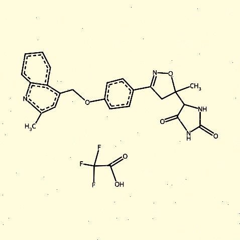 Cc1cc(COc2ccc(C3=NOC(C)(C4NC(=O)NC4=O)C3)cc2)c2ccccc2n1.O=C(O)C(F)(F)F